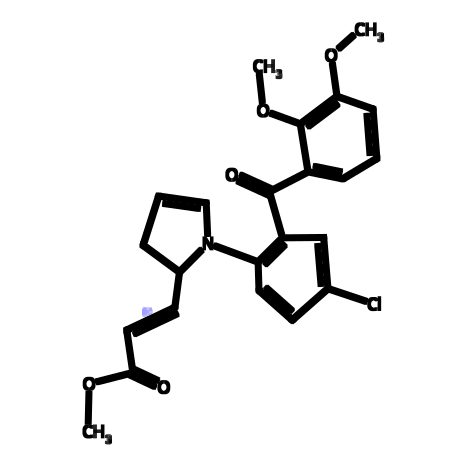 COC(=O)/C=C/C1CC=CN1c1ccc(Cl)cc1C(=O)c1cccc(OC)c1OC